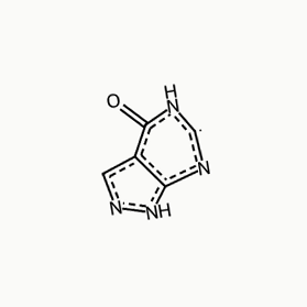 O=c1[nH][c]nc2[nH]ncc12